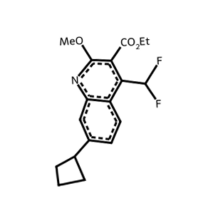 CCOC(=O)c1c(OC)nc2cc(C3CCC3)ccc2c1C(F)F